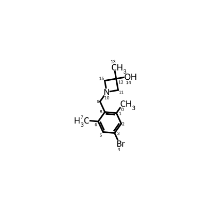 Cc1cc(Br)cc(C)c1CN1CC(C)(O)C1